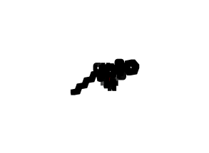 CCCCCCCC(O)(Cn1cnnc1)c1ccc(S(=O)(=O)c2ccccc2)cc1